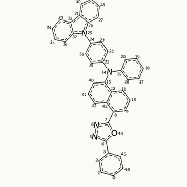 c1ccc(-c2nnc(-c3cccc4c(N(c5ccccc5)c5ccc(-n6c7ccccc7c7ccccc76)cc5)cccc34)o2)cc1